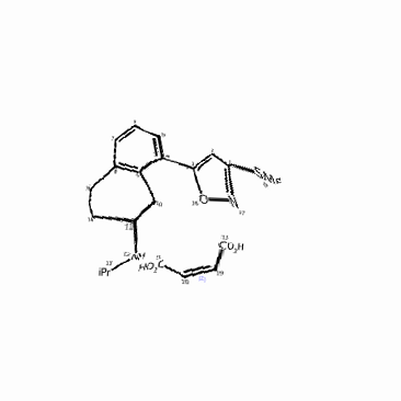 CSc1cc(-c2cccc3c2CC(NC(C)C)CC3)on1.O=C(O)/C=C\C(=O)O